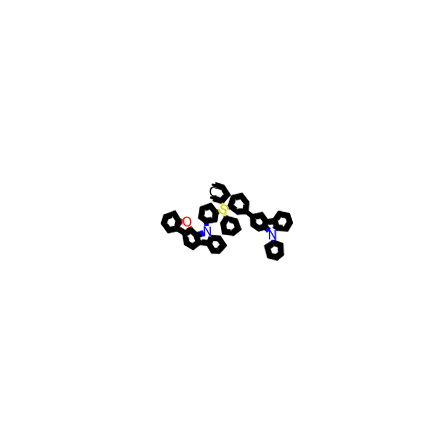 c1ccc(-n2c3ccccc3c3cc(-c4cccc(S(c5ccccc5)(c5ccccc5)c5cccc(-n6c7ccccc7c7ccc8c9ccccc9oc8c76)c5)c4)ccc32)cc1